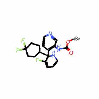 CC(C)(C)OC(=O)Nc1cnccc1C1(C2CCC(F)(F)CC2)NC=CC=C1F